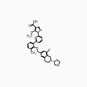 COc1c(C(=O)O)cnn1-c1cccc(-c2cccc(C)c2OCc2cc(F)c3c(c2)CCN([C@@H]2CCOC2)C3)n1